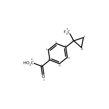 O=C(O)C(=O)c1ccc(C2(C(F)(F)F)CC2)cc1